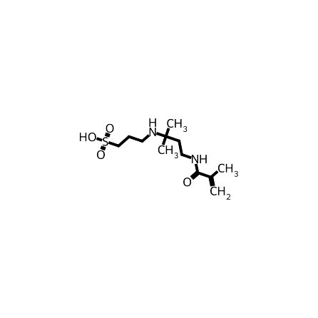 C=C(C)C(=O)NCCC(C)(C)NCCCS(=O)(=O)O